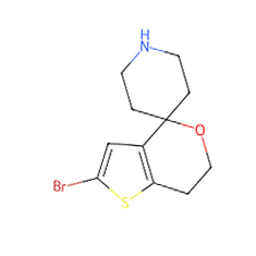 Brc1cc2c(s1)CCOC21CCNCC1